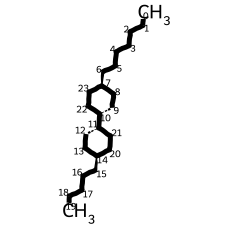 CCCCCCC[C@H]1CC[C@H]([C@H]2CC[C@H](CCCCC)CC2)CC1